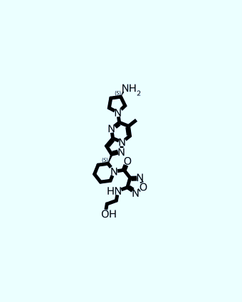 Cc1cn2nc([C@@H]3CCCCN3C(=O)c3nonc3NCCO)cc2nc1N1CC[C@H](N)C1